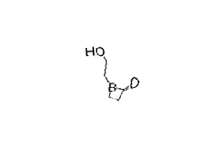 O=C1CCB1CCO